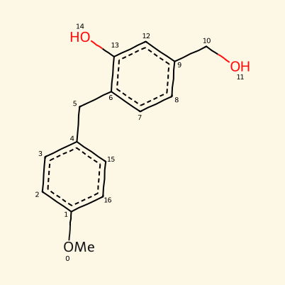 COc1ccc(Cc2ccc(CO)cc2O)cc1